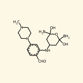 BC1(O)CC(Nc2cc(N3CCN(C)CC3)ccc2C=O)CC(B)(O)O1